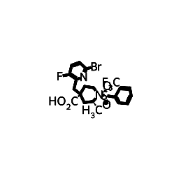 C[C@@H]1C[C@](Cc2nc(Br)ccc2F)(C(=O)O)CCN1S(=O)(=O)c1ccccc1C(F)(F)F